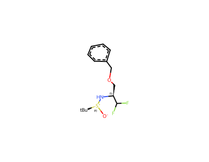 CC(C)(C)[S@+]([O-])N[C@@H](COCc1ccccc1)C(F)F